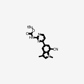 Cc1cn(C)c2c(C#N)cc(-c3ccnc(NC(=O)OC(C)(C)C)n3)cc12